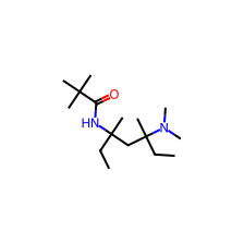 CCC(C)(CC(C)(CC)N(C)C)NC(=O)C(C)(C)C